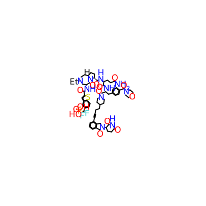 CCN1CC[C@H]2CC[C@@H](C(=O)NC(CCC(N)=O)C(=O)NC(Cc3ccc(C(=O)N4CCOCC4)cc3)C(=O)N3CCC(CCC#Cc4cccc5c4CN(C4CCC(=O)NC4=O)C5=O)CC3)N2C(=O)[C@@H](NC(=O)c2cc3cc(C(F)(F)P(=O)(O)O)ccc3s2)C1